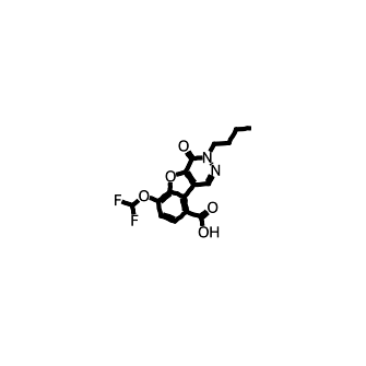 CCCCn1ncc2c(oc3c(OC(F)F)ccc(C(=O)O)c32)c1=O